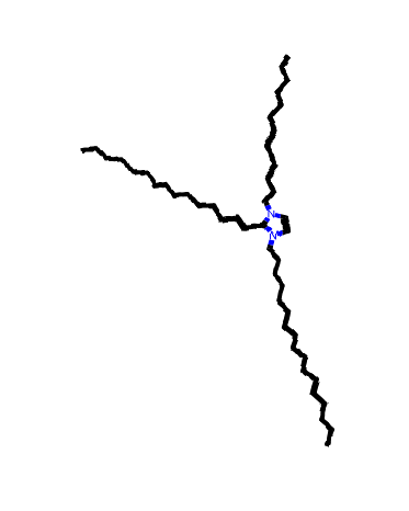 CCCCCCCCCCCCCCCCCN1C=CN(CCCCCCCCCCCC)C1CCCCCCCCCCCCCCC